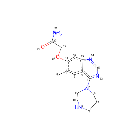 Cc1cc2c(N3CCCNCC3)ncnc2cc1OCC(N)=O